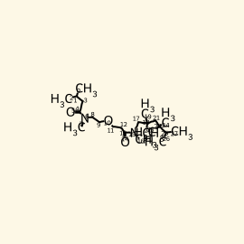 CC(C)CC(=O)N(C)CCOCCC(=O)N(C)CC(C)(C)CC(C)(C)C(C)C